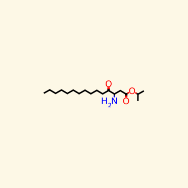 CCCCCCCCCCCC(=O)C(N)CC(=O)OC(C)C